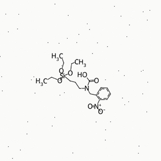 CCO[Si](CCCN(Cc1ccccc1[N+](=O)[O-])C(=O)O)(OCC)OCC